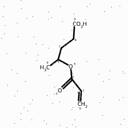 C=CC(=O)OC(C)CCC(=O)O